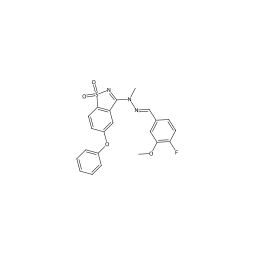 COc1cc(/C=N/N(C)C2=NS(=O)(=O)c3ccc(Oc4ccccc4)cc32)ccc1F